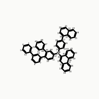 c1ccc(-c2cccc(-c3ccc(N(c4ccc(-c5cccc6ccccc56)cc4)c4cc5ccccc5c5ccccc45)cc3-c3ccccc3)c2)cc1